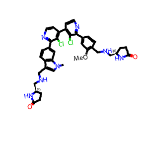 COc1cc(-c2nccc(-c3ccnc(-c4ccc5c(CNC[C@H]6CCC(=O)N6)cn(C)c5c4)c3Cl)c2Cl)ccc1CNC[C@H]1CCC(=O)N1